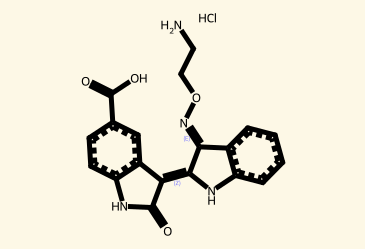 Cl.NCCO/N=C1/C(=C2/C(=O)Nc3ccc(C(=O)O)cc32)Nc2ccccc21